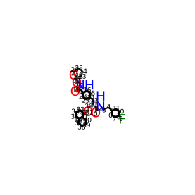 O=C(NCCc1ccc(F)cc1)/C(=C/c1ccc(C(=O)NOC2CCCCO2)cc1)COc1cccc2ccccc12